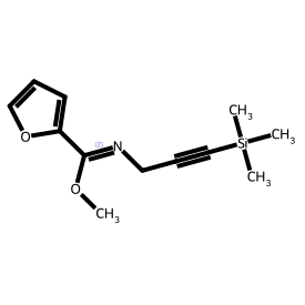 CO/C(=N\CC#C[Si](C)(C)C)c1ccco1